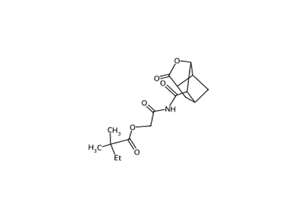 CCC(C)(C)C(=O)OCC(=O)NC(=O)C1C2CC3C(=O)OC1C3C2